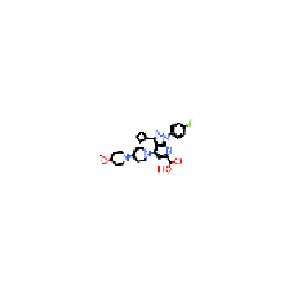 COC1CCN(C2CCN(c3cc(C(=O)O)nc4c3c(C3CCC3)nn4-c3ccc(F)cc3)CC2)CC1